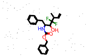 C=CC(C)C(F)(F)C(O)C(Cc1ccccc1)NC(=O)OCc1ccccc1